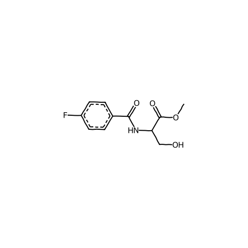 COC(=O)C(CO)NC(=O)c1ccc(F)cc1